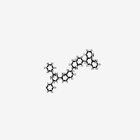 c1ccc(-c2cc(-c3ccc4ccc(-c5ccc6ccc(-c7cc8cccnc8c8ncccc78)cc6n5)cc4n3)nc(-c3ccccc3)n2)cc1